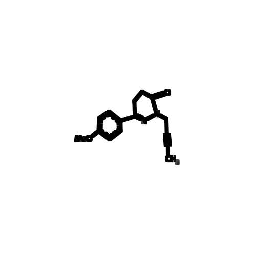 CC#CCN1N=C(c2ccc(OC)cc2)CCC1=O